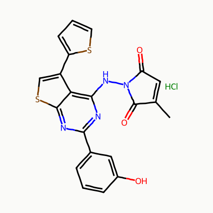 CC1=CC(=O)N(Nc2nc(-c3cccc(O)c3)nc3scc(-c4cccs4)c23)C1=O.Cl